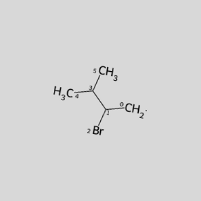 [CH2]C(Br)C(C)C